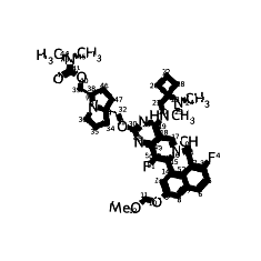 C#Cc1c(F)ccc2cc(OCOC)cc(-c3ncc4c(NCC5(N(C)C)CCC5)nc(OC[C@]56CCCN5[C@@H](COC(=O)N(C)C)CC6)nc4c3F)c12